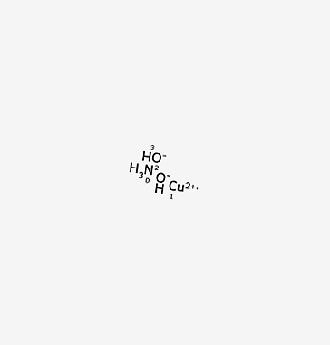 N.[Cu+2].[OH-].[OH-]